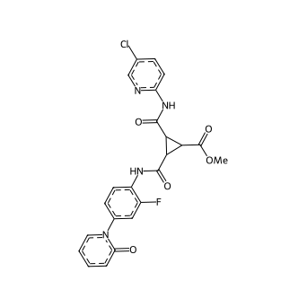 COC(=O)C1C(C(=O)Nc2ccc(Cl)cn2)C1C(=O)Nc1ccc(-n2ccccc2=O)cc1F